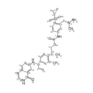 BN(C)Cc1cc(NC(=O)OC[C@H](C)c2ccc(C(C=O)Nc3ccc4nc[nH]c(=O)c4c3)cc2C)ccc1S(=O)(=O)C1CC1